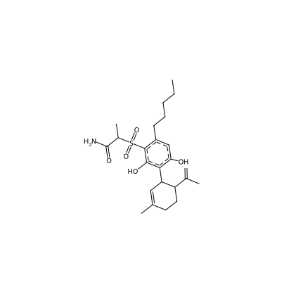 C=C(C)C1CCC(C)=CC1c1c(O)cc(CCCCC)c(S(=O)(=O)C(C)C(N)=O)c1O